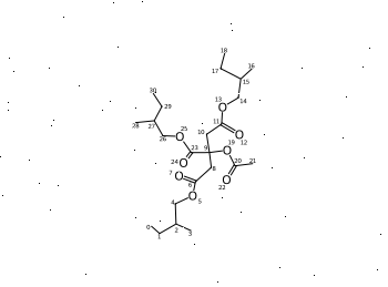 CCC(C)COC(=O)CC(CC(=O)OCC(C)CC)(OC(C)=O)C(=O)OCC(C)CC